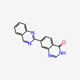 O=c1[nH]cnc2cc(-c3ncc4ccccc4n3)ccc12